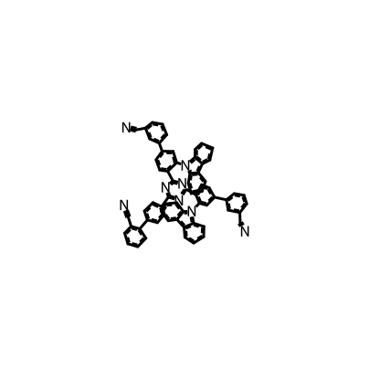 N#Cc1cccc(-c2ccc(-c3nc(-c4ccc(-c5ccccc5C#N)cc4)nc(-c4ccc(-c5cccc(C#N)c5)cc4-n4c5ccccc5c5ccccc54)n3)c(-n3c4ccccc4c4ccccc43)c2)c1